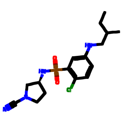 CCC(C)CNc1ccc(Cl)c(S(=O)(=O)N[C@@H]2CCN(C#N)C2)c1